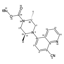 C[C@@H]1CN(c2ccc(C#N)c3ncccc23)[C@@H](C)CN1C(=O)OC(C)(C)C